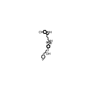 CN1CCN(CC(O)COc2ccc(S(=O)(=O)NCCCc3c[nH]c4ccc(Cl)cc34)cc2)CC1